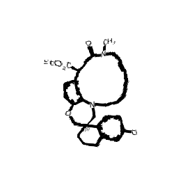 CCOC(=O)C1CC(=O)N(C)CC=CCCCCN2C[C@@]3(CCCc4cc(Cl)ccc43)COc3ccc1cc32